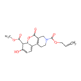 C=CCOC(=O)N1CCC2=C(C1)C(=O)OC1C2=CC=C(O)C1C(=O)OC